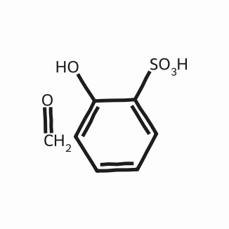 C=O.O=S(=O)(O)c1ccccc1O